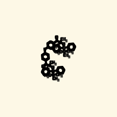 CC(C)(O[Si](c1ccccc1)(c1ccccc1)[Si](C)(C)C)C(=O)c1ccc(Sc2ccc(C(=O)C(C)(C)O[Si](c3ccccc3)(c3ccccc3)[Si](C)(C)C)cc2)cc1